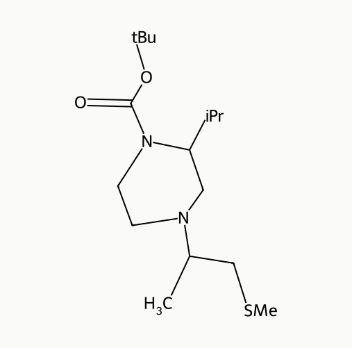 CSCC(C)N1CCN(C(=O)OC(C)(C)C)C(C(C)C)C1